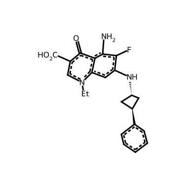 CCn1cc(C(=O)O)c(=O)c2c(N)c(F)c(N[C@H]3C[C@H](c4ccccc4)C3)cc21